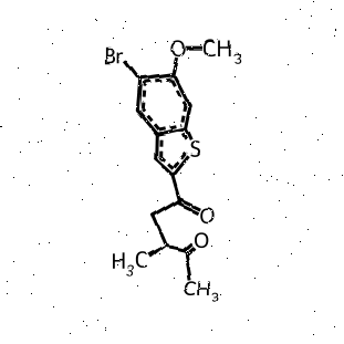 COc1cc2sc(C(=O)C[C@H](C)C(C)=O)cc2cc1Br